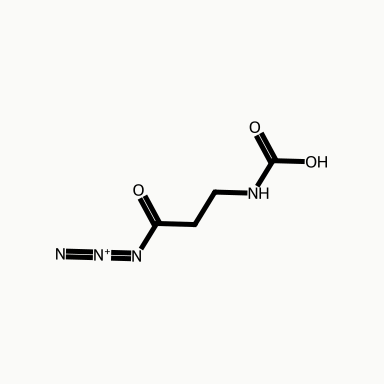 [N-]=[N+]=NC(=O)CCNC(=O)O